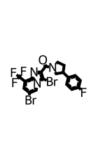 O=C(c1nc2c(C(F)(F)F)cc(Br)cn2c1Br)N1CCC(c2ccc(F)cc2)C1